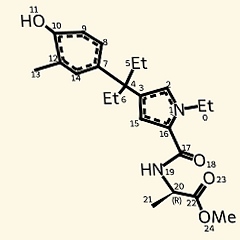 CCn1cc(C(CC)(CC)c2ccc(O)c(C)c2)cc1C(=O)N[C@H](C)C(=O)OC